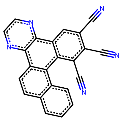 N#Cc1cc2c3nccnc3c3ccc4ccccc4c3c2c(C#N)c1C#N